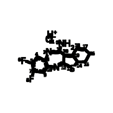 NC1=Nc2cc(F)c(F)cc2N=C2SC3CCC=CC3=C12.[Cl-].[H+]